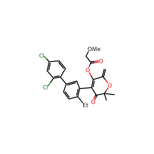 C=C1OC(C)(C)C(=O)C(c2cc(-c3ccc(Cl)cc3Cl)ccc2CC)=C1OC(=O)COC